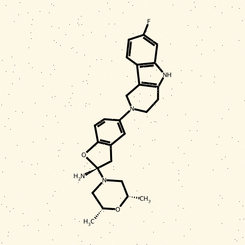 C[C@@H]1CN([C@@]2(N)Cc3cc(N4CCc5[nH]c6cc(F)ccc6c5C4)ccc3O2)C[C@H](C)O1